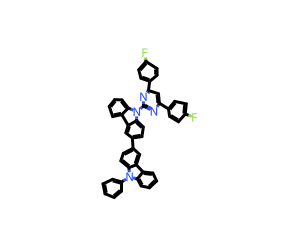 Fc1ccc(-c2cc(-c3ccc(F)cc3)nc(-n3c4ccccc4c4cc(-c5ccc6c(c5)c5ccccc5n6-c5ccccc5)ccc43)n2)cc1